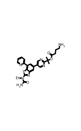 CCN(C(N)=O)c1nc2cc(-c3cnc(C(C)(C)OC(=O)CCCN)nc3)cc(-c3ccccn3)c2s1